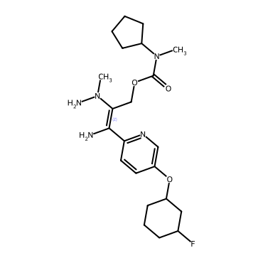 CN(N)/C(COC(=O)N(C)C1CCCC1)=C(\N)c1ccc(OC2CCCC(F)C2)cn1